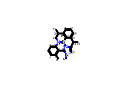 Cc1cccc2c1-c1n3c(c[n+]1C)C(C)c1cccc4c1B3N2CC4C